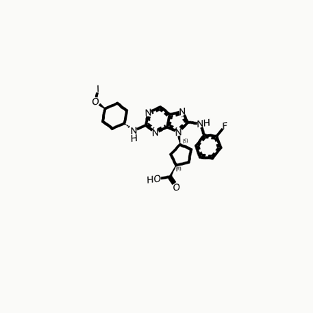 O=C(O)[C@@H]1CC[C@H](n2c(Nc3ccccc3F)nc3cnc(N[C@H]4CC[C@H](OI)CC4)nc32)C1